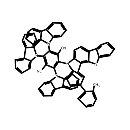 Cc1ccccc1-c1ccc2c(c1)c1c3sc4ccccc4c3ccc1n2-c1c(C#N)c(-n2c3ccccc3c3ccccc32)c(-n2c3ccccc3c3ccccc32)c(C#N)c1-n1c2ccccc2c2ccccc21